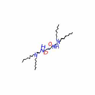 CCCCCCCCN(CCCCCCCC)CCNC(=O)/C=C/C(=O)NCCN(CCCCCCCC)CCCCCCCC